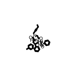 CCC#CCN1CC(=O)N2[C@@H](C[C@]3(c4ccc(C)cc4)c4ccccc4N(S(=O)(=O)c4ccccc4)[C@H]23)C1=O